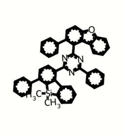 C[Si]1(C)c2ccccc2-c2c(-c3nc(-c4ccccc4)nc(-c4c(-c5ccccc5)ccc5oc6ccccc6c45)n3)ccc(-c3ccccc3)c21